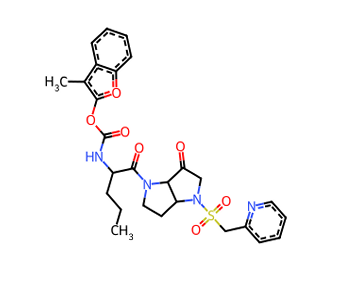 CCCC(NC(=O)Oc1oc2ccccc2c1C)C(=O)N1CCC2C1C(=O)CN2S(=O)(=O)Cc1ccccn1